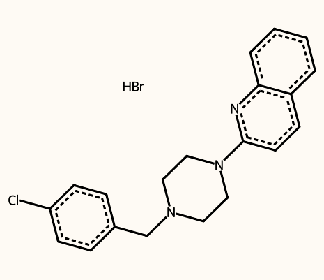 Br.Clc1ccc(CN2CCN(c3ccc4ccccc4n3)CC2)cc1